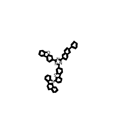 c1ccc(-c2ccc3cc(-c4nc(-c5ccc6c(c5)oc5ccccc56)nc(-c5ccc6c(c5)sc5c(-n7c8ccccc8c8ccc9ccccc9c87)cccc56)n4)ccc3c2)cc1